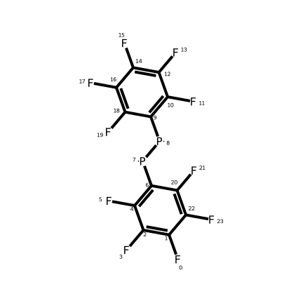 Fc1c(F)c(F)c([P][P]c2c(F)c(F)c(F)c(F)c2F)c(F)c1F